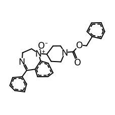 O=C(OCc1ccccc1)N1CCC([N+]2([O-])CCN=C(c3ccccc3)c3ccccc32)CC1